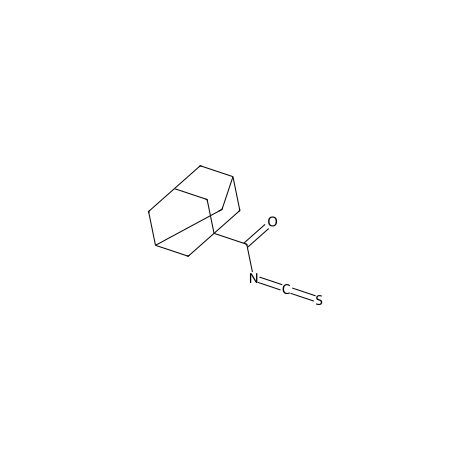 O=C(N=C=S)C12CC3CC(CC(C3)C1)C2